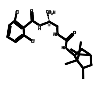 CC1CC2CC(NC(=O)NC[C@H](NC(=O)c3c(Cl)cccc3Cl)C(=O)O)C1(C)C2(C)C